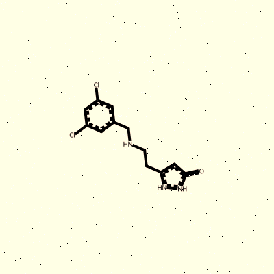 O=c1cc(CCNCc2cc(Cl)cc(Cl)c2)[nH][nH]1